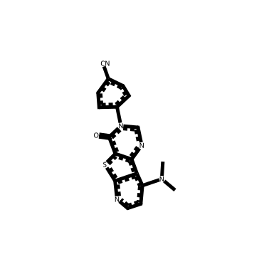 CN(C)c1ccnc2sc3c(=O)n(-c4ccc(C#N)cc4)cnc3c12